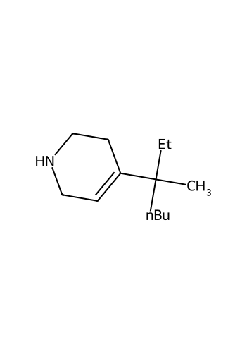 CCCCC(C)(CC)C1=CCNCC1